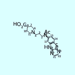 CC(=O)N(CCCN1CCC(C(=O)O)CC1)c1ccc2c(c1)Nc1nccnc1S2